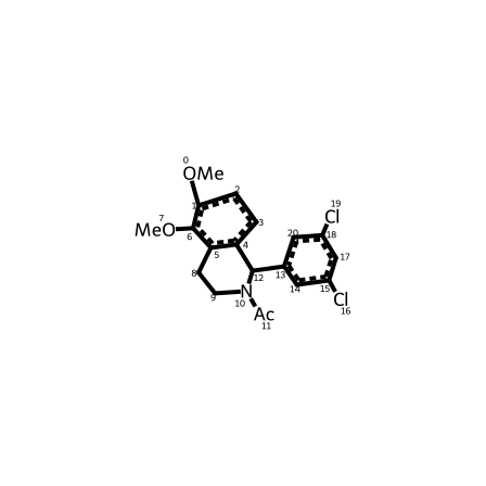 COc1ccc2c(c1OC)CCN(C(C)=O)C2c1cc(Cl)cc(Cl)c1